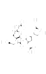 C#CCn1c(=O)n([C@@H]2O[C@H](C(CC)OC(C)=O)C[C@H]2OC(C)=O)c2nc(NC(C)=O)ncc21